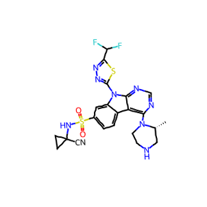 C[C@@H]1CNCCN1c1ncnc2c1c1ccc(S(=O)(=O)NC3(C#N)CC3)cc1n2-c1nnc(C(F)F)s1